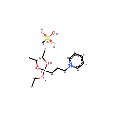 CCO[Si](CCC[n+]1ccccc1)(OCC)OCC.CS(=O)(=O)[O-]